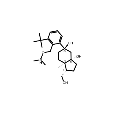 C[SiH](C)OCc1c(C(C)(C)C)cccc1[C@@]1(O)CC[C@]2(C)[C@@H](CO)CC[C@]2(O)C1